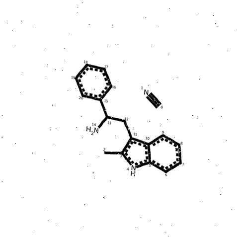 C#N.Cc1[nH]c2ccccc2c1CC(N)c1ccccc1